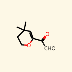 CC1(C)C=C(C(=O)C=O)OCC1